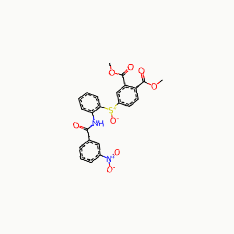 COC(=O)c1ccc([S+]([O-])c2ccccc2NC(=O)c2cccc([N+](=O)[O-])c2)cc1C(=O)OC